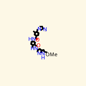 COCc1cc2cc(NC(=O)c3cc(NC(=O)c4ccc(CN5CCC(N(C)C)C5)c(C)c4)ccc3C)cnc2[nH]1